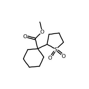 COC(=O)C1(C2CCCS2(=O)=O)CCCCC1